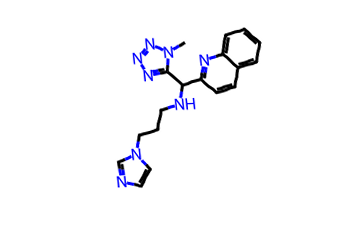 Cn1nnnc1C(NCCCn1ccnc1)c1ccc2ccccc2n1